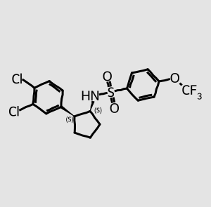 O=S(=O)(N[C@H]1CCC[C@H]1c1ccc(Cl)c(Cl)c1)c1ccc(OC(F)(F)F)cc1